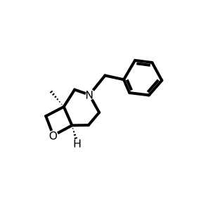 C[C@@]12CO[C@@H]1CCN(Cc1ccccc1)C2